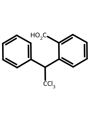 O=C(O)c1ccccc1C(c1ccccc1)C(Cl)(Cl)Cl